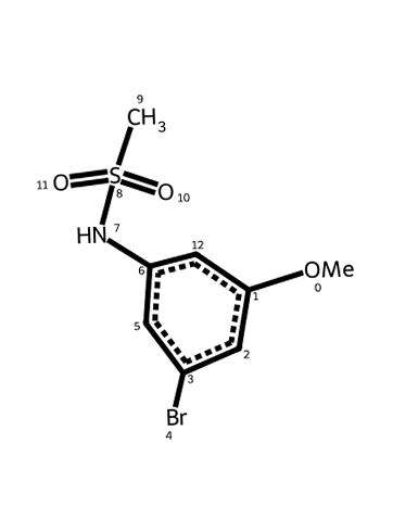 COc1cc(Br)cc(NS(C)(=O)=O)c1